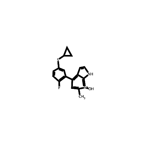 Cc1cc(-c2cc(SC3CC3)ccc2F)c2cc[nH]c2[n+]1O